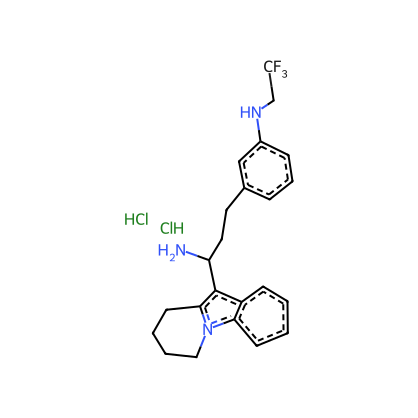 Cl.Cl.NC(CCc1cccc(NCC(F)(F)F)c1)c1c2n(c3ccccc13)CCCC2